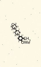 COc1ccc(N2CCC(N3CCOCC3)CC2)cc1C